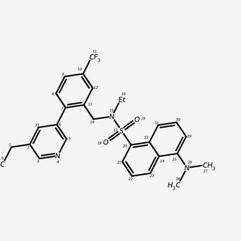 CCOC(=O)Cc1cncc(-c2ccc(C(F)(F)F)cc2CN(CC)S(=O)(=O)c2cccc3c(N(C)C)cccc23)c1